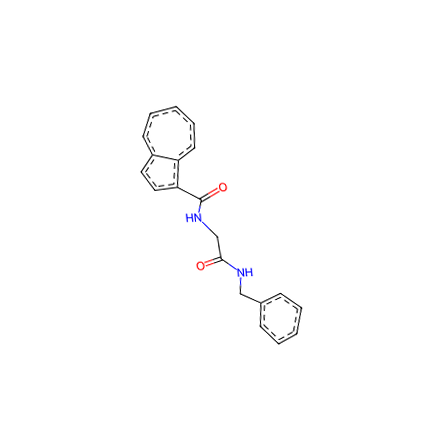 O=C(CNC(=O)c1ccc2cccccc1-2)NCc1ccccc1